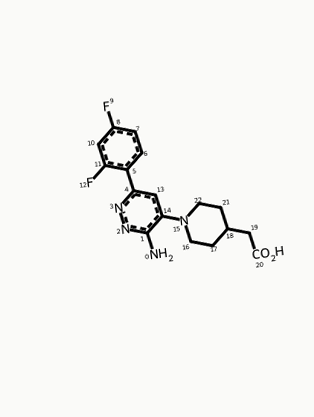 Nc1nnc(-c2ccc(F)cc2F)cc1N1CCC(CC(=O)O)CC1